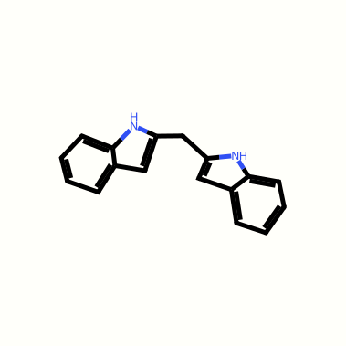 c1ccc2[nH]c(Cc3cc4ccccc4[nH]3)cc2c1